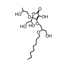 CCCCCCCCOC(CO)COC1=C(O)C(=O)O[C@]1(OCC(C)O)[C@@H](O)CO